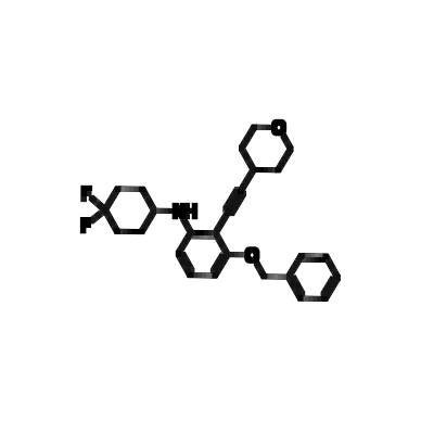 FC1(F)CCC(Nc2cccc(OCc3ccccc3)c2C#CC2CCOCC2)CC1